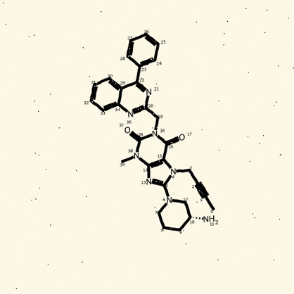 CC#CCn1c(N2CCC[C@@H](N)C2)nc2c1c(=O)n(Cc1nc(-c3ccccc3)c3ccccc3n1)c(=O)n2C